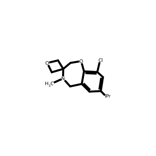 CC(C)c1cc(Cl)c2c(c1)CN(C)C1(COC1)CO2